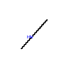 CCCCCC=CCC=CCCCCCCCCNCCCCCCCCCCCC